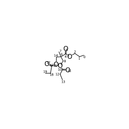 CCCOC(=O)C(C)(COC(=O)CC)COC(=O)CC